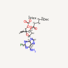 C#C[C@]1(COC(=O)OCCCCCC)O[C@@H](n2cnc3c(N)nc(F)nc32)C[C@@H]1OC(=O)CCCCCCCCCCCCC